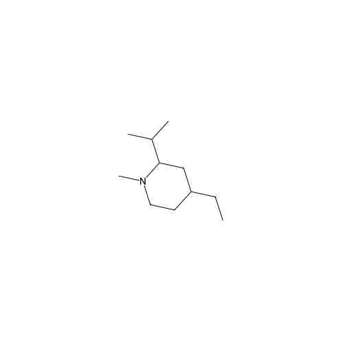 CCC1CCN(C)C(C(C)C)C1